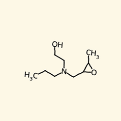 CCCN(CCO)CC1OC1C